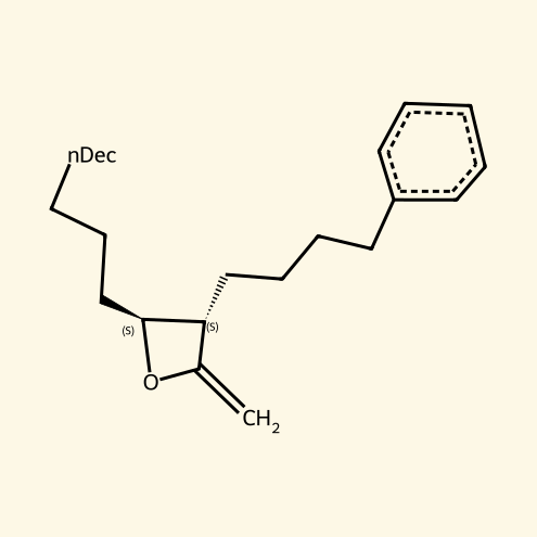 C=C1O[C@@H](CCCCCCCCCCCCC)[C@@H]1CCCCc1ccccc1